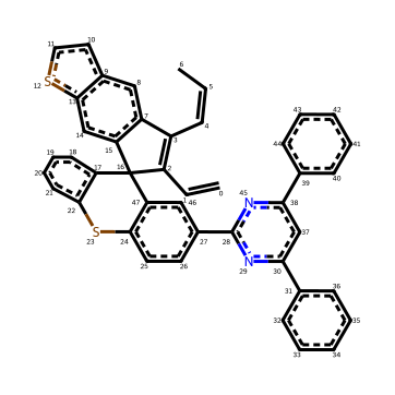 C=CC1=C(/C=C\C)c2cc3ccsc3cc2C12c1ccccc1Sc1ccc(-c3nc(-c4ccccc4)cc(-c4ccccc4)n3)cc12